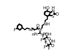 CCCC(CCC)N(CCNCCc1ccc(O)c2[nH]c(=O)sc12)C(=O)CCNCCc1cccc(F)c1.O=C(O)C(F)(F)F.O=C(O)C(F)(F)F